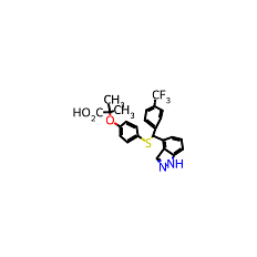 CC(C)(Oc1ccc(SC(c2ccc(C(F)(F)F)cc2)c2cccc3[nH]ncc23)cc1)C(=O)O